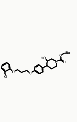 CC(C)(C)OC(=O)N1CCC(c2ccc(OCCCOc3ccccc3Cl)cc2)C(O)C1